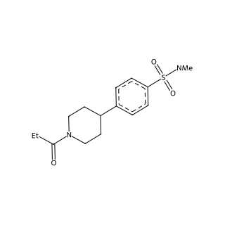 CCC(=O)N1CCC(c2ccc(S(=O)(=O)NC)cc2)CC1